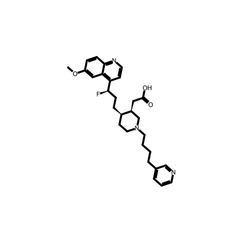 COc1ccc2nccc([C@H](F)CC[C@@H]3CCN(CCCCc4cccnc4)C[C@@H]3CC(=O)O)c2c1